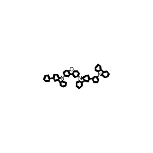 c1ccc(-c2ccc3c(c2)c2ccccc2n3-c2ccc3oc4ccc(-n5c6ccccc6c6cc(-c7cccc(-n8c9ccccc9c9ccccc98)c7)ccc65)cc4c3c2)cc1